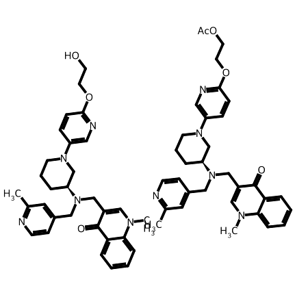 CC(=O)OCCOc1ccc(N2CCC[C@H](N(Cc3ccnc(C)c3)Cc3cn(C)c4ccccc4c3=O)C2)cn1.Cc1cc(CN(Cc2cn(C)c3ccccc3c2=O)[C@H]2CCCN(c3ccc(OCCO)nc3)C2)ccn1